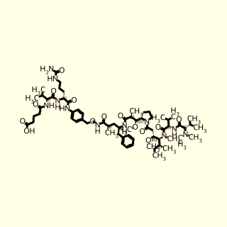 CC[C@H](C)[C@@H]([C@@H](CC(=O)N1CCC[C@H]1[C@H](OC)[C@@H](C)C(=O)N[C@@H](Cc1ccccc1)C[C@H](C)C(=O)NOCc1ccc(NC(=O)[C@@H](CCCNC(N)=O)NC(=O)[C@H](NC(=O)CCCC(=O)O)C(C)C)cc1)OC)N(C)C(=O)[C@@H](NC(=O)[C@H](C(C)C)N(C)C)C(C)C